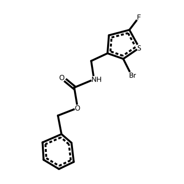 O=C(NCc1cc(F)sc1Br)OCc1ccccc1